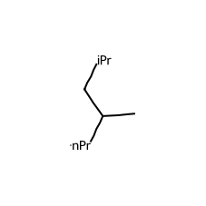 CC[CH]C(C)CC(C)C